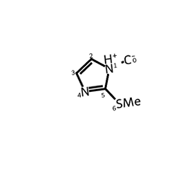 [CH2-][NH+]1C=CN=C1SC